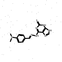 CN(C)c1ccc(C=NNc2nc(=S)[nH]c3[nH]cnc23)cc1